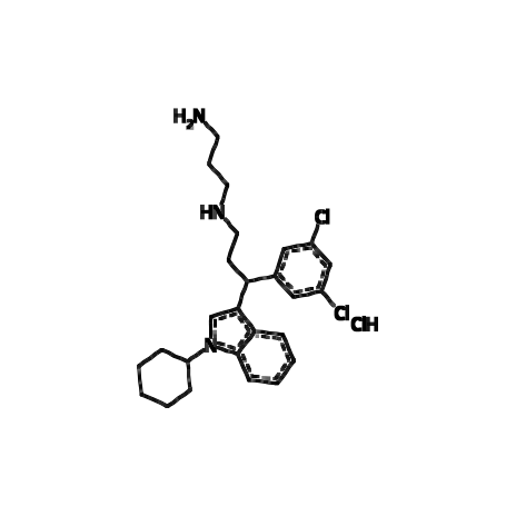 Cl.NCCCNCCC(c1cc(Cl)cc(Cl)c1)c1cn(C2CCCCC2)c2ccccc12